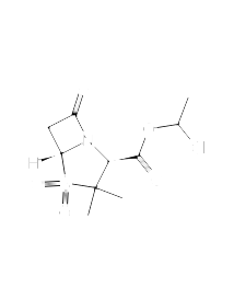 CC(Cl)OC(=O)[C@@H]1N2C(=O)C[C@H]2S(=O)(=O)C1(C)C